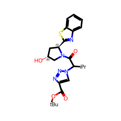 CC(C)C(C(=O)N1C[C@H](O)C[C@H]1c1nc2ccccc2s1)n1cc(C(=O)OC(C)(C)C)nn1